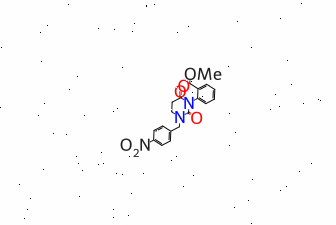 COC(=O)c1ccccc1N1C(=O)CCN(Cc2ccc([N+](=O)[O-])cc2)C1=O